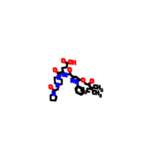 CC(C)(C)C(=O)COc1cc(C(=O)NC(CCC(=O)O)C(=O)N2CCN(CC(=O)N3CCCC3)CC2)nn1-c1ccccc1